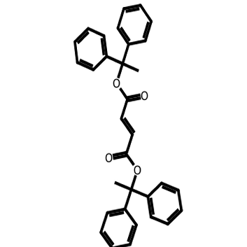 CC(OC(=O)/C=C/C(=O)OC(C)(c1ccccc1)c1ccccc1)(c1ccccc1)c1ccccc1